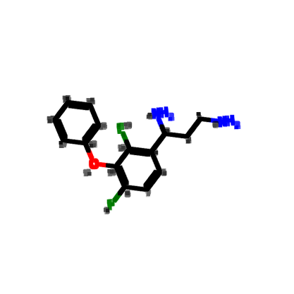 NCCC(N)c1ccc(F)c(Oc2ccccc2)c1F